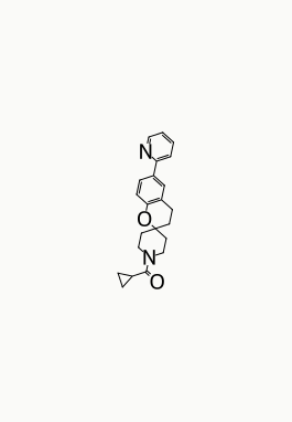 O=C(C1CC1)N1CCC2(CCc3cc(-c4ccccn4)ccc3O2)CC1